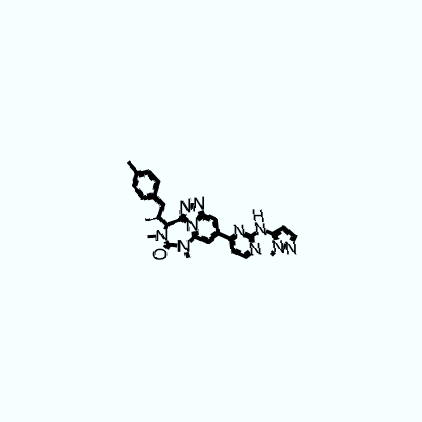 Cc1ccc(C[C@H](C)C2c3nnc4cc(-c5ccnc(Nc6ccnn6C)n5)cc(n34)N(C)C(=O)N2C)cc1